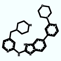 c1cc(CN2CCNCC2)cc(Nc2nc3ccc(-c4ccnc(N5CCOCC5)c4)cc3[nH]2)n1